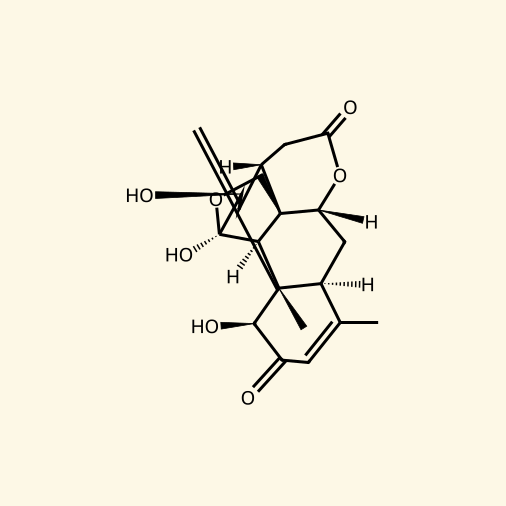 C=C1[C@H](O)[C@]2(O)OC[C@]34[C@H]2[C@@]2(C)[C@H](O)C(=O)C=C(C)[C@@H]2C[C@H]3OC(=O)C[C@@H]14